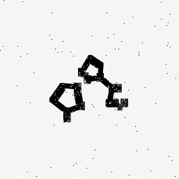 O=C(O)Nn1ccnn1.c1c[nH]nn1